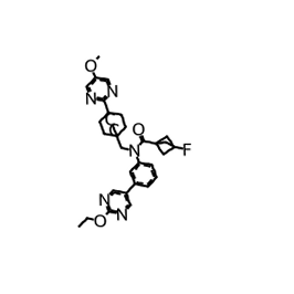 CCOc1ncc(-c2cccc(N(CC34CCC(c5ncc(OC)cn5)(CC3)CC4)C(=O)C34CC(F)(C3)C4)c2)cn1